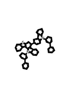 c1ccc(-c2cccc(-n3c4ccccc4c4cc(-c5cc6sc7ccccc7c6c6c5c5ccccc5n6-c5cccc(-c6ccccc6)c5)ccc43)c2)cc1